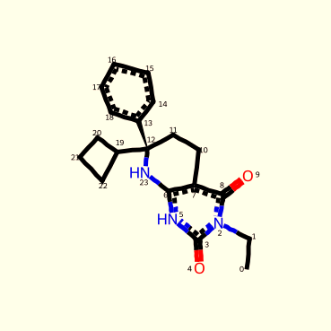 CCn1c(=O)[nH]c2c(c1=O)CC[C@@](c1ccccc1)(C1CCC1)N2